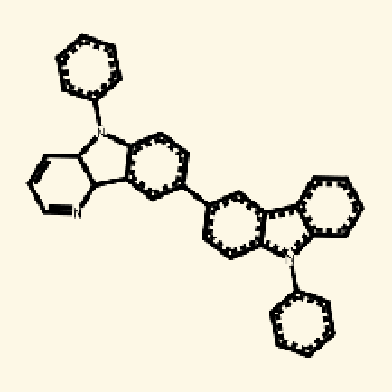 C1=CC2C(N=C1)c1cc(-c3ccc4c(c3)c3ccccc3n4-c3ccccc3)ccc1N2c1ccccc1